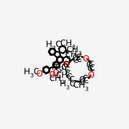 COc1ccc(-c2cc3c4c(c5c(c3cc2OC)OC2(C=C5)c3ccc(cc3)Oc3ccc(cc3)Oc3ccc(cc3)C(C)(C)CCCCC2(C)C)C2(CC(C)(C)CC(C)(C)C2)c2ccccc2-4)c(OC)c1